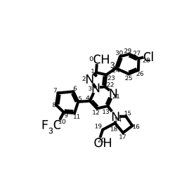 Cc1nn2c(-c3cccc(C(F)(F)F)c3)cc(N3CCCC3CO)nc2c1-c1ccc(Cl)cc1